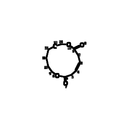 O=C1CC=CCC(=O)OCCCCCCO1